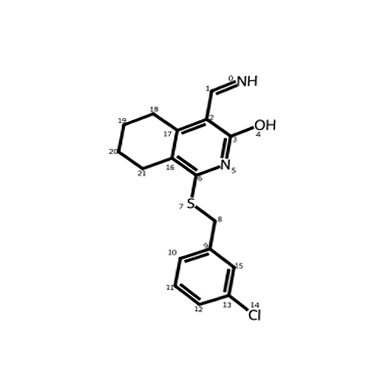 N=Cc1c(O)nc(SCc2cccc(Cl)c2)c2c1CCCC2